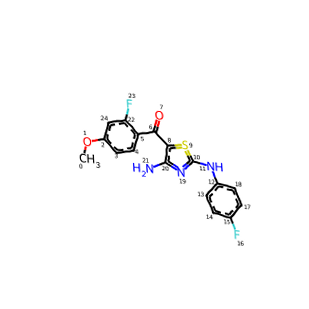 COc1ccc(C(=O)c2sc(Nc3ccc(F)cc3)nc2N)c(F)c1